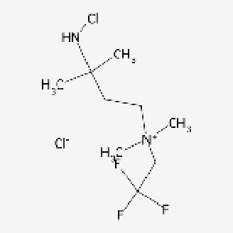 CC(C)(CC[N+](C)(C)CC(F)(F)F)NCl.[Cl-]